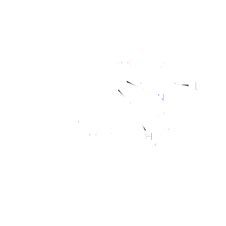 CC(C)(C)[C@@H]1OC[C@]2(CO)N1C(=O)[C@@H]1C[C@H](OCc3ccccc3)O[C@@]12C